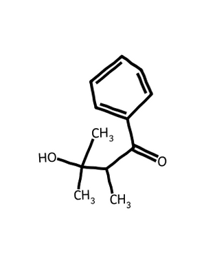 CC(C(=O)c1ccccc1)C(C)(C)O